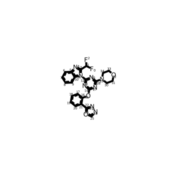 FC(F)c1nc2ccccc2n1-c1nc(Oc2ccccc2-c2nnco2)nc(N2CCOCC2)n1